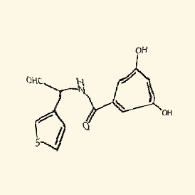 O=CC(NC(=O)c1cc(O)cc(O)c1)c1ccsc1